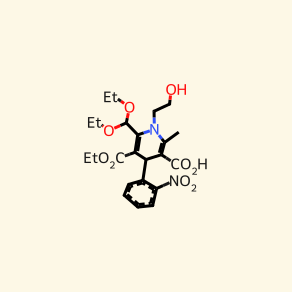 CCOC(=O)C1=C(C(OCC)OCC)N(CCO)C(C)=C(C(=O)O)C1c1ccccc1[N+](=O)[O-]